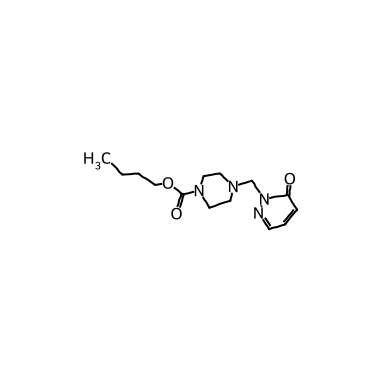 CCCCOC(=O)N1CCN(Cn2ncccc2=O)CC1